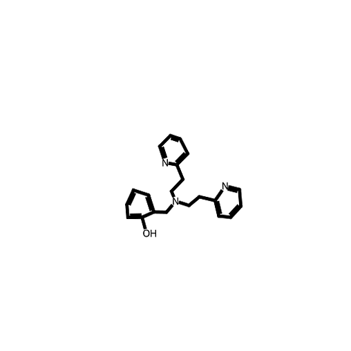 Oc1ccccc1CN(CCc1ccccn1)CCc1ccccn1